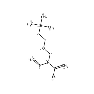 C=NN(COCC[Si](C)(C)C)C(=C)CC